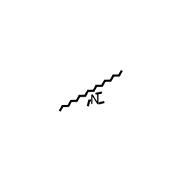 CCCCCCCCCCCCCCCC.CCN(CC)CC